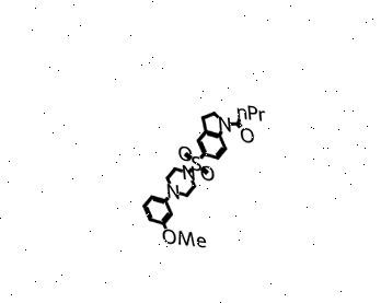 CCCC(=O)N1CCc2cc(S(=O)(=O)N3CCN(c4cccc(OC)c4)CC3)ccc21